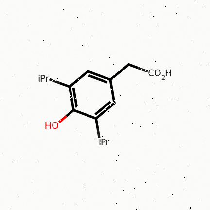 CC(C)c1cc(CC(=O)O)cc(C(C)C)c1O